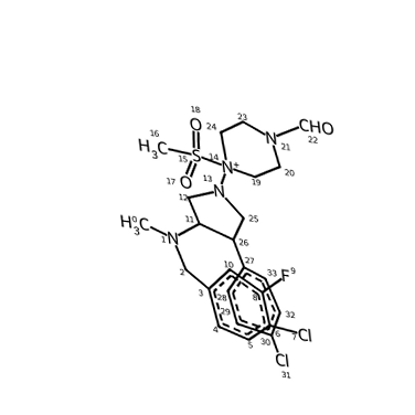 CN(Cc1ccc(Cl)c(F)c1)C1CN([N+]2(S(C)(=O)=O)CCN(C=O)CC2)CC1c1ccc(Cl)cc1